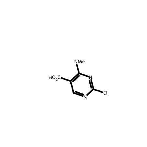 CNc1nc(Cl)ncc1C(=O)O